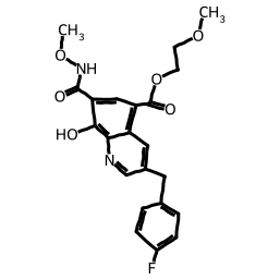 COCCOC(=O)c1cc(C(=O)NOC)c(O)c2ncc(Cc3ccc(F)cc3)cc12